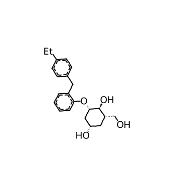 CCc1ccc(Cc2ccccc2O[C@H]2C[C@@H](O)C[C@@H](CO)[C@@H]2O)cc1